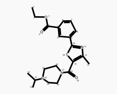 CCOC(=O)c1cccc(-c2nc(C)c(C(=O)N3CCN(C(C)C)CC3)s2)c1